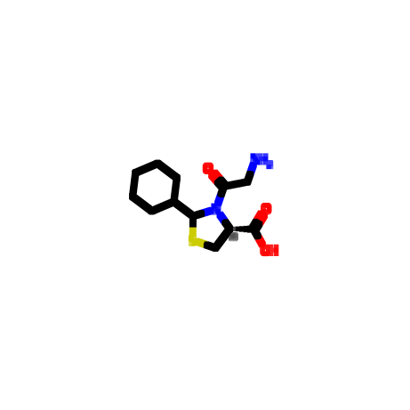 NCC(=O)N1C(C2CCCCC2)SC[C@H]1C(=O)O